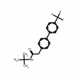 CC(C)(C)NC(=O)Cc1ccc(-c2ccc(C(F)(F)F)cc2)cc1